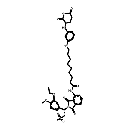 CCOc1cc([C@@H](CS(C)(=O)=O)N2C(=O)c3cccc(NC(=O)CCCCCCCCNc4cccc(NC5CCC(=O)NC5=O)c4)c3C2=O)ccc1OC